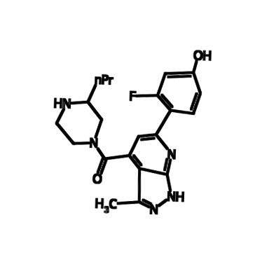 CCCC1CN(C(=O)c2cc(-c3ccc(O)cc3F)nc3[nH]nc(C)c23)CCN1